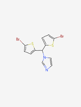 Brc1ccc(C(c2ccc(Br)s2)n2ccnc2)s1